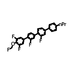 CCCc1ccc(-c2ccc(-c3ccc(-c4cc(F)c(OCF)c(F)c4)c(F)c3)c(F)c2)cc1